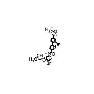 Cc1nc(-c2ccc(-c3ccc(C(=O)Nc4cc(OCCN(C)C)c(Br)cn4)cn3)c(C3CC3)c2)no1